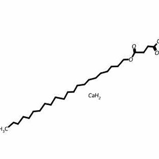 CCCCCCCCCCCCCCCCCCCCCCOC(=O)CCC(=O)O.[CaH2]